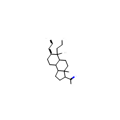 C=C/C=C1/CCC2C(CCC3(C)C(C(C)=N)CCC23)C1(C)CCC